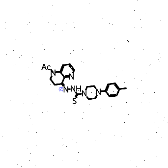 CC(=O)N1CC/C(=N/NC(=S)N2CCN(c3ccc(C)cc3)CC2)c2ncccc21